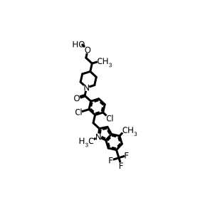 Cc1cc(C(F)(F)F)cc2c1cc(Cc1c(Cl)ccc(C(=O)N3CCC(C(C)COO)CC3)c1Cl)n2C